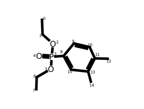 CCOP(=O)(OCC)c1ccc(C)c(C)c1